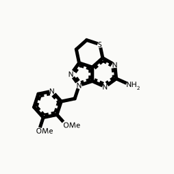 COc1ccnc(Cn2nc3c4c(nc(N)nc42)SCC3)c1OC